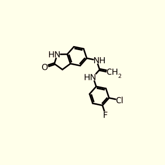 C=C(Nc1ccc(F)c(Cl)c1)Nc1ccc2c(c1)CC(=O)N2